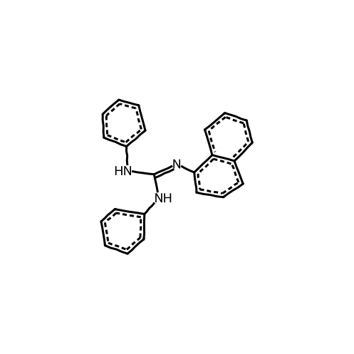 c1ccc(NC(=Nc2cccc3ccccc23)Nc2ccccc2)cc1